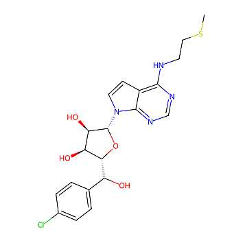 CSCCNc1ncnc2c1ccn2[C@@H]1O[C@H](C(O)c2ccc(Cl)cc2)[C@@H](O)[C@H]1O